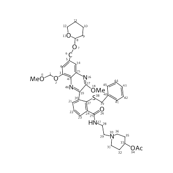 COCOc1cc(COC2CCCCO2)cc2nc(OC)c(-c3cccc(C(=O)NCCN4CCC(OC(C)=O)CC4)c3SCc3ccccc3)nc12